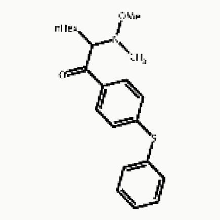 CCCCCCC(C(=O)c1ccc(Sc2ccccc2)cc1)N(C)OC